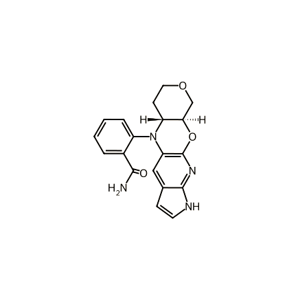 NC(=O)c1ccccc1N1c2cc3cc[nH]c3nc2O[C@@H]2COCC[C@H]21